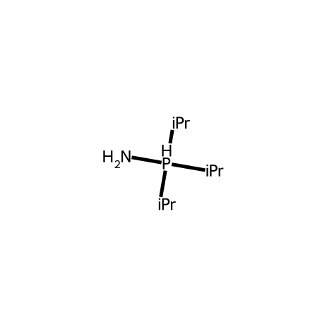 CC(C)[PH](N)(C(C)C)C(C)C